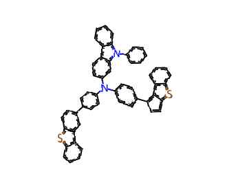 C1=CC(c2ccc(N(c3ccc(-c4ccc5sc6ccccc6c5c4)cc3)c3ccc4c5ccccc5n(-c5ccccc5)c4c3)cc2)=c2c=1sc1ccccc21